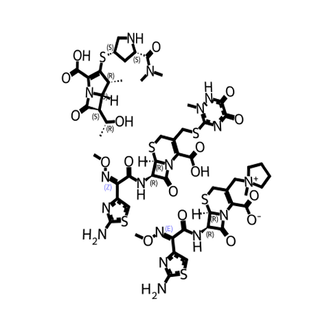 CO/N=C(/C(=O)N[C@@H]1C(=O)N2C(C(=O)[O-])=C(C[N+]3(C)CCCC3)CS[C@H]12)c1csc(N)n1.CO/N=C(\C(=O)N[C@@H]1C(=O)N2C(C(=O)O)=C(CSc3nc(=O)c(=O)[nH]n3C)CS[C@H]12)c1csc(N)n1.C[C@@H](O)[C@H]1C(=O)N2C(C(=O)O)=C(S[C@@H]3CN[C@H](C(=O)N(C)C)C3)[C@H](C)[C@H]12